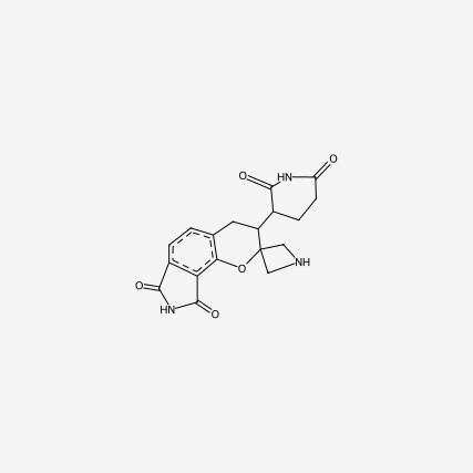 O=C1CCC(C2Cc3ccc4c(c3OC23CNC3)C(=O)NC4=O)C(=O)N1